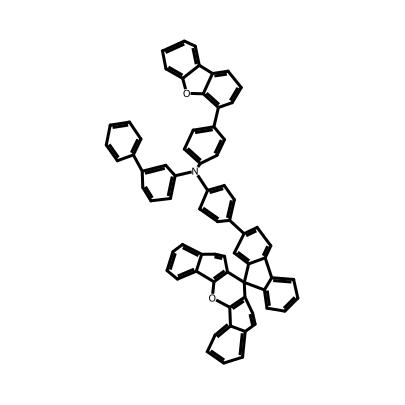 c1ccc(-c2cccc(N(c3ccc(-c4ccc5c(c4)C4(c6ccccc6-5)c5ccc6ccccc6c5Oc5c4ccc4ccccc54)cc3)c3ccc(-c4cccc5c4oc4ccccc45)cc3)c2)cc1